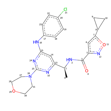 C[C@H](NC(=O)c1cc(C2CC2)on1)c1cc(Nc2ccc(Cl)cc2)nc(N2CCOCC2)n1